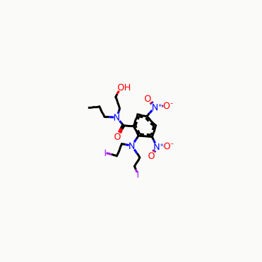 CCCN(CCO)C(=O)c1cc([N+](=O)[O-])cc([N+](=O)[O-])c1N(CCI)CCI